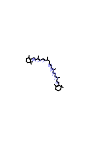 CC1=C(/C=C/C(C)=C/C=C/C(C)=C/C=C/CC(C)/C=C/C=C(C)/C=C/C2=C(C)CCCC2(C)C)C(C)(C)CCC1